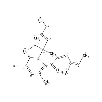 C=C(/C=C\C(C)=C/C)C1=C(C)C=C(F)CC1C(C)(C=CCC)C(C)C